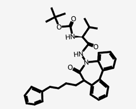 CC(C)[C@H](NC(=O)OC(C)(C)C)C(=O)NN1C(=O)C(CCCCc2ccccc2)c2ccccc2-c2ccccc21